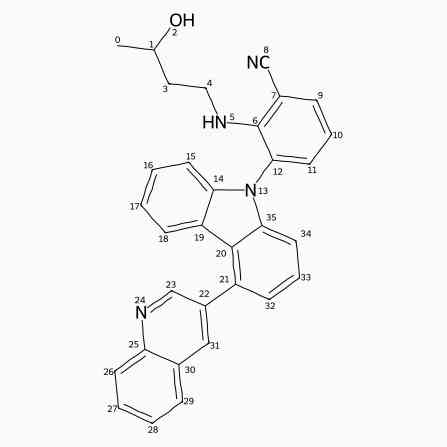 CC(O)CCNc1c(C#N)cccc1-n1c2ccccc2c2c(-c3cnc4ccccc4c3)cccc21